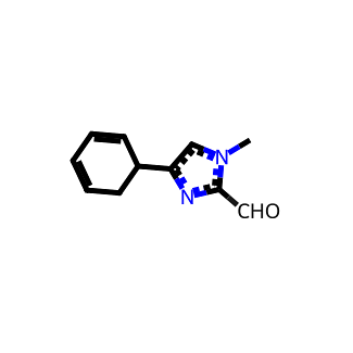 Cn1cc(C2C=CC=CC2)nc1C=O